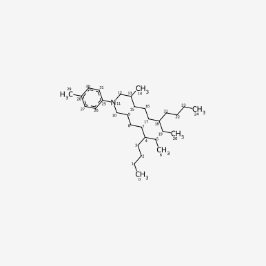 CCCCC(CC)CCCCN(CC(C)CCCC(CC)CCCC)c1ccc(C)cc1